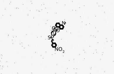 CN(C)c1cccc2c(S(=O)(=O)N3CCN(C(=S)SCc4ccc([N+](=O)[O-])cc4)CC3)cccc12